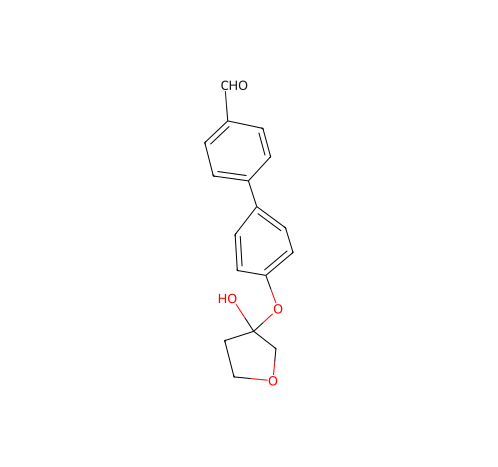 O=Cc1ccc(-c2ccc(OC3(O)CCOC3)cc2)cc1